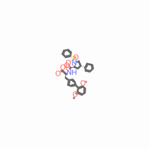 COc1cccc(OC)c1-c1ccc(C[C@H](NC(=O)[C@@H]2C[C@@H](c3ccccc3)CN2S(=O)(=O)c2ccccc2)C(=O)O)cc1